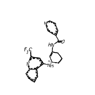 O=C(NC1=C[C@@H](Nc2cc(C(F)(F)F)nc3ccccc23)CCC1)c1cccnc1